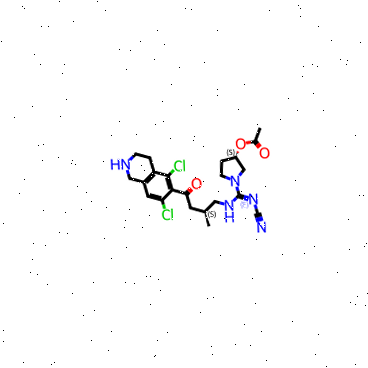 CC(=O)O[C@H]1CCN(/C(=N/C#N)NC[C@@H](C)CC(=O)c2c(Cl)cc3c(c2Cl)CCNC3)C1